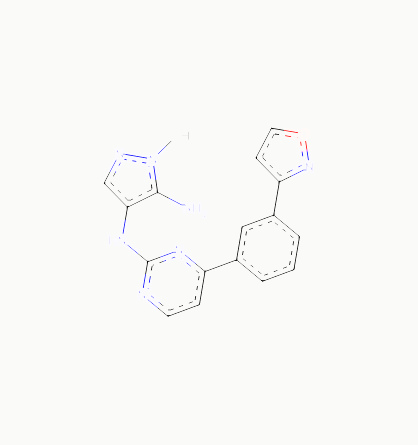 Cn1ncc(Nc2nccc(-c3cccc(-c4ccon4)c3)n2)c1N